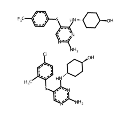 Cc1cc(Cl)ccc1Sc1cnc(N)nc1N[C@H]1CC[C@H](O)CC1.Nc1ncc(Sc2ccc(C(F)(F)F)cc2)c(N[C@H]2CC[C@H](O)CC2)n1